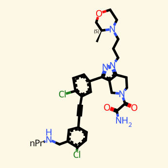 CCCNCc1cc(C#Cc2cc(-c3nn(CCCN4CCOC[C@@H]4C)c4c3CN(C(=O)C(N)=O)CC4)ccc2Cl)ccc1Cl